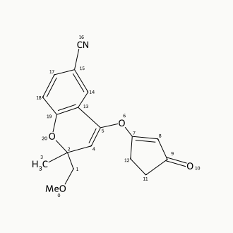 COCC1(C)C=C(OC2=CC(=O)CC2)c2cc(C#N)ccc2O1